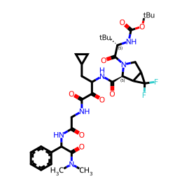 CN(C)C(=O)C(NC(=O)CNC(=O)C(=O)C(CC1CC1)NC(=O)[C@@H]1C2C(CN1C(=O)[C@@H](NC(=O)OC(C)(C)C)C(C)(C)C)C2(F)F)c1ccccc1